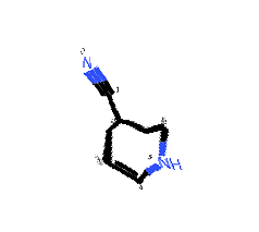 N#CC1C=CNC1